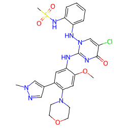 COc1cc(N2CCOCC2)c(-c2cnn(C)c2)cc1Nc1nc(=O)c(Cl)cn1Nc1ccccc1NS(C)(=O)=O